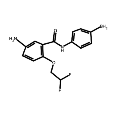 Bc1ccc(NC(=O)c2cc(N)ccc2OCC(F)F)cc1